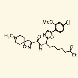 CCC(=O)CCCCCC(NC(=O)C1=NOC2(CCN(C)CC2)C1)c1ncc(-c2ccc(Cl)cc2OC)o1